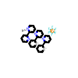 F[P-](F)(F)(F)(F)F.[Ir+3].[c-]1ccccc1-c1ccccn1.[c-]1ccccc1-c1ccccn1.c1ccc(-c2ccccn2)nc1